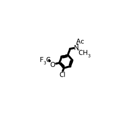 CC(=O)N(C)Cc1ccc(Cl)c(OC(F)(F)F)c1